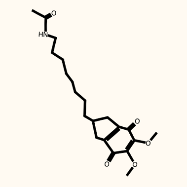 COC1=C(OC)C(=O)C2=C(CC(CCCCCCCCNC(C)=O)C2)C1=O